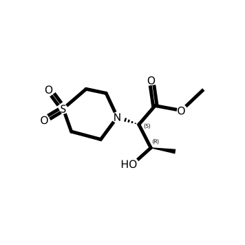 COC(=O)[C@H]([C@@H](C)O)N1CCS(=O)(=O)CC1